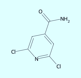 NC(=O)c1cc(Cl)nc(Cl)c1